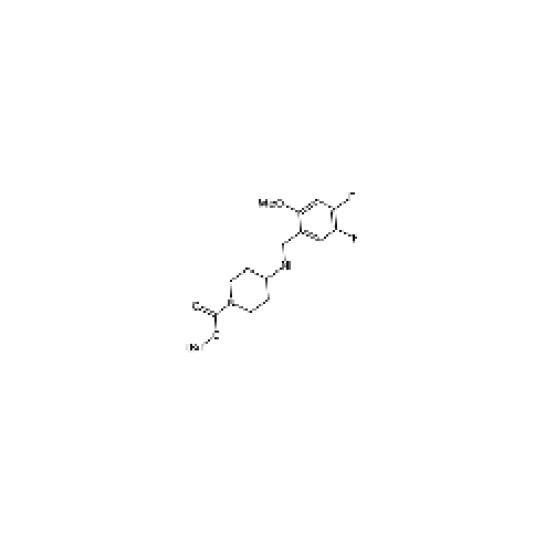 COc1cc(F)c(F)cc1CNC1CCN(C(=O)OC(C)(C)C)CC1